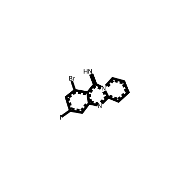 N=c1c2c(Br)cc(I)cc2nc2ccccn12